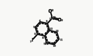 O=[N+]([O-])c1ccc(I)c2ncccc12